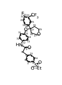 CCS(=O)(=O)c1ccc(CC(=O)Nc2ccc(OC3(c4ccc(F)c(C(F)(F)F)c4)CCOCC3)cc2)cc1